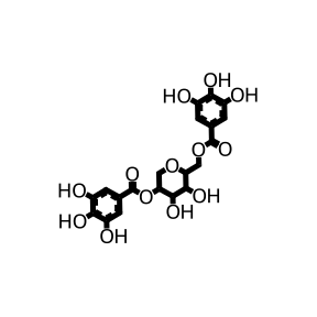 O=C(OCC1OCC(OC(=O)c2cc(O)c(O)c(O)c2)C(O)C1O)c1cc(O)c(O)c(O)c1